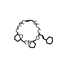 C(=CC1CCCCC/C=C\CCCCC2CCCC(CCN3CCCCC3CO1)O2)C1CCCCC1